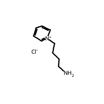 NCCCC[n+]1ccccc1.[Cl-]